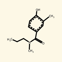 CCCN(C)C(=O)c1ccc(O)c(C)c1